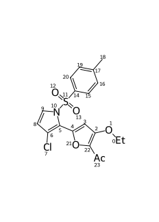 CCOc1cc(-c2c(Cl)ccn2S(=O)(=O)c2ccc(C)cc2)oc1C(C)=O